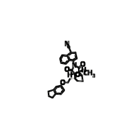 C[C@]12CC[C@](CCOc3ccc4c(c3)CCC4)(O1)[C@@H]1C(=O)N(c3ccc(C#N)c4ccccc34)C(=O)[C@@H]12